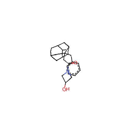 CC1C2CC3CC1CC(C2)C3(CC(=O)N1CC(O)C1)Cc1ccccc1